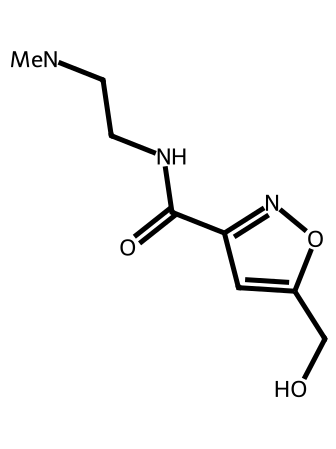 CNCCNC(=O)c1cc(CO)on1